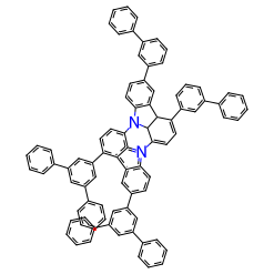 C1=C(c2cccc(-c3ccccc3)c2)C2c3cc(-c4cccc(-c5ccccc5)c4)ccc3N3c4ccc(-c5cc(-c6ccccc6)cc(-c6ccccc6)c5)c5c6cc(-c7cc(-c8ccccc8)cc(-c8ccccc8)c7)ccc6n(c45)C(=C1)C23